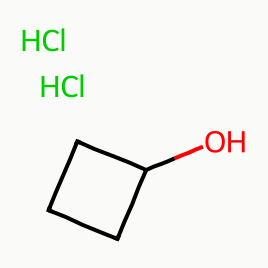 Cl.Cl.OC1CCC1